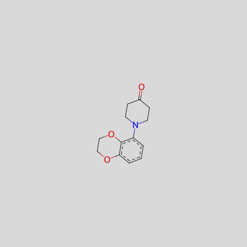 O=C1CCN(c2cccc3c2OCCO3)CC1